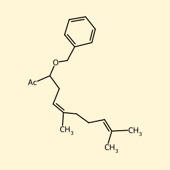 CC(=O)C(C/C=C(/C)CCC=C(C)C)OCc1ccccc1